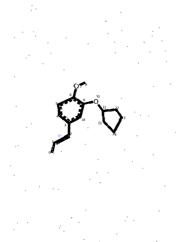 [CH2]/C=C/c1ccc(OC)c(OC2CCCC2)c1